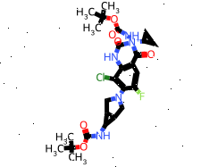 CC(C)(C)OC(=O)NC1C2CN(c3c(F)cc4c(c3Cl)NC(=O)[N+](NC(=O)OC(C)(C)C)(C3CC3)C4=O)CC21